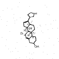 CC[C@H]1C=C2CC(O)CC[C@]2(C)[C@H]2CC[C@]3(C)C(C4CCNC4)=CC[C@H]3[C@H]12